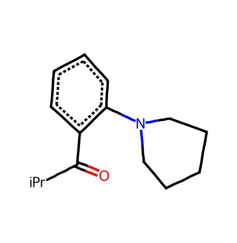 CC(C)C(=O)c1ccccc1N1CCCCC1